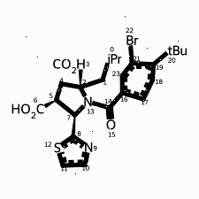 CC(C)C[C@@]1(C(=O)O)C[C@H](C(=O)O)[C@H](c2nccs2)N1C(=O)c1ccc(C(C)(C)C)c(Br)c1